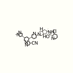 Cn1cc(-c2cc(-c3ccc(N4C[C@@H]5C[C@@](C)(NC(=O)c6ncccc6Cl)C[C@@H]5C4)nc3)c3c(C#N)cnn3c2)cn1